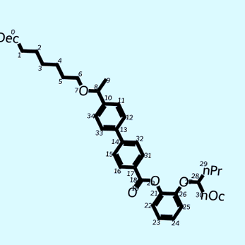 CCCCCCCCCCCCCCCCOC(C)c1ccc(-c2ccc(C(=O)Oc3ccccc3OC(CCC)CCCCCCCC)cc2)cc1